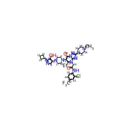 CCc1c(N2CCN(c3cnn(C4CCC4)c3O)CC2)c(=O)n2nc(N3CCN(C)CC3)nc2n1CC(=O)Nc1ccc(C(F)(F)F)cc1Cl